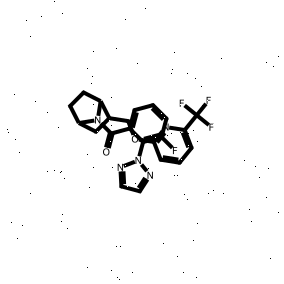 O=C(c1cccc(F)c1-n1nccn1)N1C2CCC1C(COc1cccc(C(F)(F)F)n1)C2